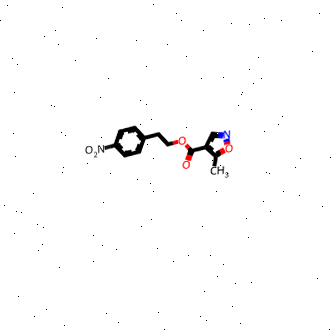 Cc1oncc1C(=O)OCCc1ccc([N+](=O)[O-])cc1